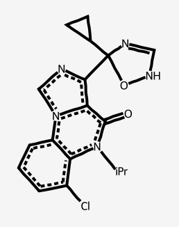 CC(C)n1c(=O)c2c(C3(C4CC4)N=CNO3)ncn2c2cccc(Cl)c21